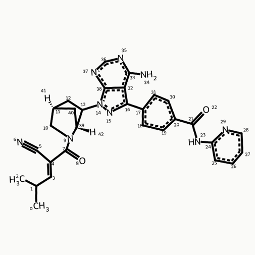 CC(C)/C=C(\C#N)C(=O)N1C[C@H]2CC(n3nc(-c4ccc(C(=O)Nc5ccccn5)cc4)c4c(N)ncnc43)[C@H]1C2